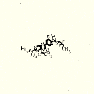 CCC(F)(F)CSNc1ccc(-c2nc3cnc(N)nc3n(C(C)C)c2=O)cc1F